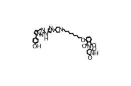 O=C1CCC(N2C(=O)c3cccc(OCCCCCCCCCN4CCC(n5cc(Nc6ncc7ccc(-c8ccc(O)cc8)n7n6)cn5)CC4)c3C2=O)C(=O)N1